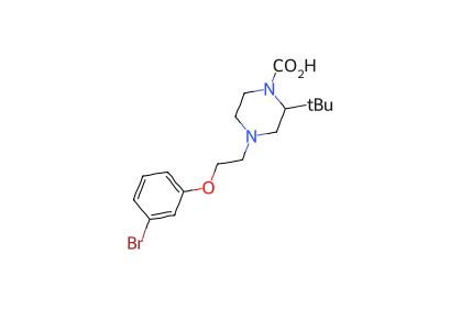 CC(C)(C)C1CN(CCOc2cccc(Br)c2)CCN1C(=O)O